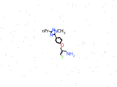 CCCc1nc(-c2ccc(OC/C(=C/F)CN)cc2)n(C)n1